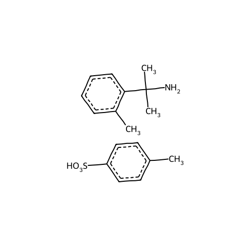 Cc1ccc(S(=O)(=O)O)cc1.Cc1ccccc1C(C)(C)N